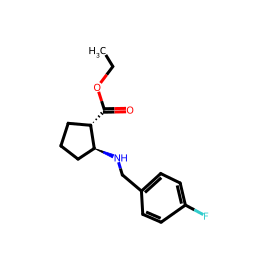 CCOC(=O)[C@H]1CCC[C@@H]1NCc1ccc(F)cc1